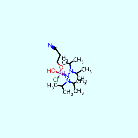 CC(C)N(C(C)C)N(N(C(C)C)C(C)C)[PH](O)(Cl)OCCC#N